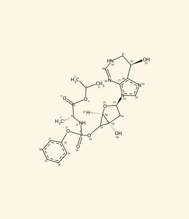 CC(C)OC(=O)[C@@H](C)NP(=O)(Oc1ccccc1)OC1[C@H]2O[C@@H](n3cnc4c3N=CNC[C@H]4O)C[C@@]12O